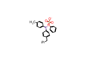 Cc1ccc([I+]c2ccc(CC(C)C)cc2)cc1.O=S(=O)([O-])Oc1ccccc1